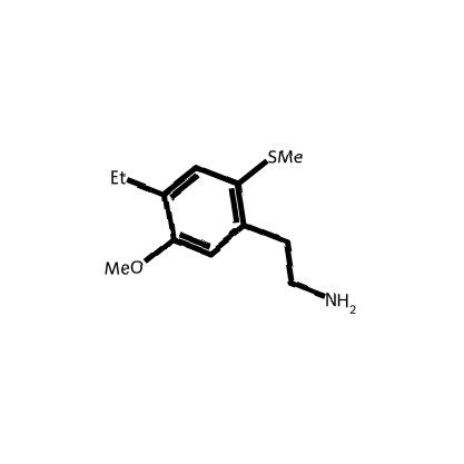 CCc1cc(SC)c(CCN)cc1OC